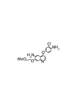 COCCOc1cc2nccc(Oc3ccc(N)c(Cl)c3)c2cc1N